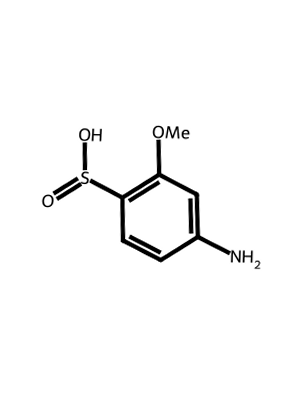 COc1cc(N)ccc1S(=O)O